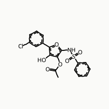 CC(=O)Oc1c(NS(=O)(=O)c2ccccc2)oc(-c2cccc(Cl)c2)c1O